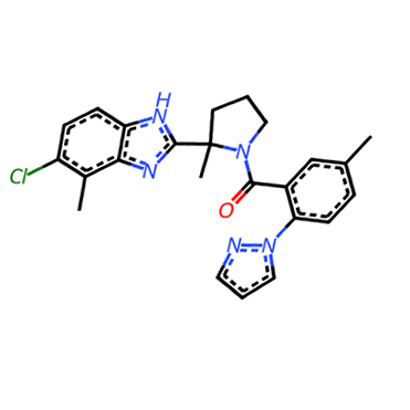 Cc1ccc(-n2cccn2)c(C(=O)N2CCCC2(C)c2nc3c(C)c(Cl)ccc3[nH]2)c1